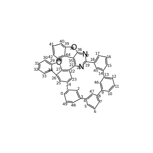 c1ccc(-c2cccc(-c3cccc(-c4cccc(-c5nc(-c6cccc7c6oc6ccccc67)c6c(n5)oc5ccccc56)c4)c3)c2)cc1